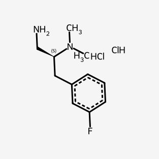 CN(C)[C@H](CN)Cc1cccc(F)c1.Cl.Cl